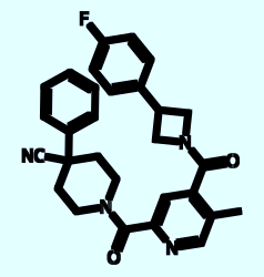 Cc1cnc(C(=O)N2CCC(C#N)(c3ccccc3)CC2)cc1C(=O)N1CC(c2ccc(F)cc2)C1